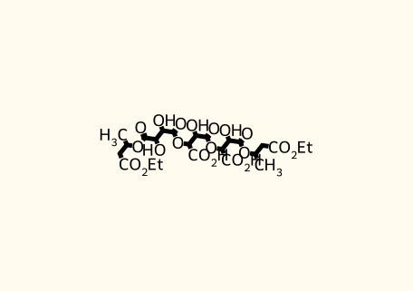 CCOC(=O)CC(C)OC(=O)C(O)C(O)C(=O)OC(C(=O)O)C(O)C(=O)OC(C(=O)O)C(O)C(=O)OC(C)CC(=O)OCC